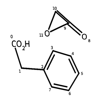 O=C(O)Cc1ccccc1.O=C1CO1